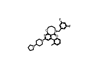 Cc1ccccc1-c1cc(N2CCC(N3CCCC3)CC2)nc2c1C(=O)N(Cc1cc(F)cc(F)c1)CCCO2